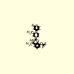 C[C@@H](NC(=O)N1CCN(c2ccnc(F)c2)[C@@H](C)C1)c1cccc(OC(F)F)c1